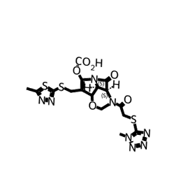 Cc1nnc(SCC2=C(OC(=O)O)N3C(=O)[C@@H]4[C@H]3C2OCN4C(=O)CSc2nnnn2C)s1